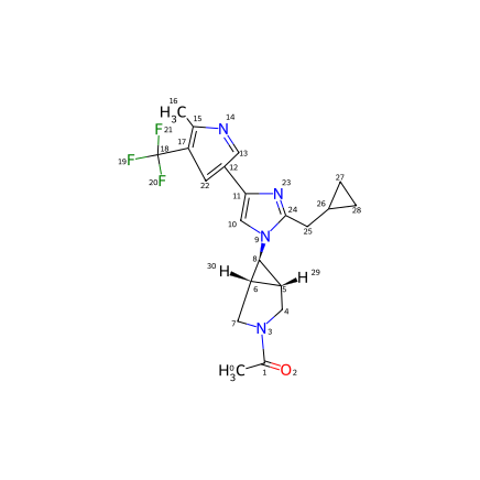 CC(=O)N1C[C@@H]2[C@H](C1)[C@H]2n1cc(-c2cnc(C)c(C(F)(F)F)c2)nc1CC1CC1